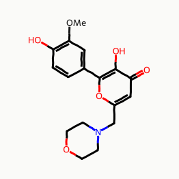 COc1cc(-c2oc(CN3CCOCC3)cc(=O)c2O)ccc1O